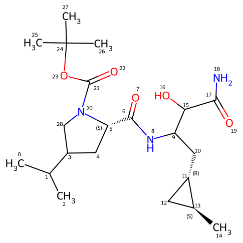 CC(C)C1C[C@@H](C(=O)NC(C[C@H]2C[C@@H]2C)C(O)C(N)=O)N(C(=O)OC(C)(C)C)C1